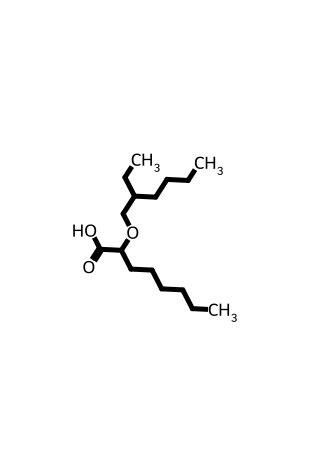 CCCCCCC(OCC(CC)CCCC)C(=O)O